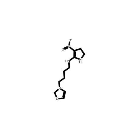 O=[N+]([O-])C1=C(NCCCCN2C=COC2)NCC1